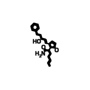 CC=CCCC(C(N)=O)[C@@H]1C(=O)C=C[C@@H]1C=C[C@@H](O)CCc1ccccc1